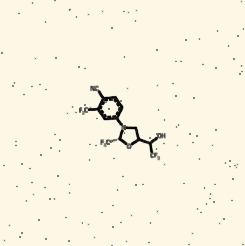 N#Cc1ccc(N2CC(C(O)C(F)(F)F)O[C@@H]2C(F)(F)F)cc1C(F)(F)F